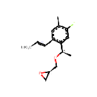 CCOC(=O)/C=C/c1cc(C)c(F)cc1[C@@H](C)OC[C@H]1CO1